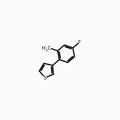 Cc1cc(F)ccc1-c1[c]scc1